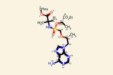 CCCCCCOC(=O)C(C)(C)NP(=O)(CO[C@H](C)Cn1cnc2c(N)ncnc21)O[C@@H](C)C(=O)OCC